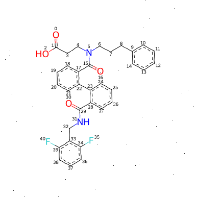 O=C(O)CCN(CCCc1ccccc1)C(=O)c1ccccc1-c1ccccc1C(=O)NCc1c(F)cccc1F